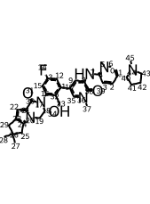 C=C(/C=C\C(=N/C)Nc1cc(-c2cc(F)cc(N3CCn4c(cc5c4CC(C)(C)C5)C3=O)c2CO)cn(C)c1=O)[C@H]1CCCN1C